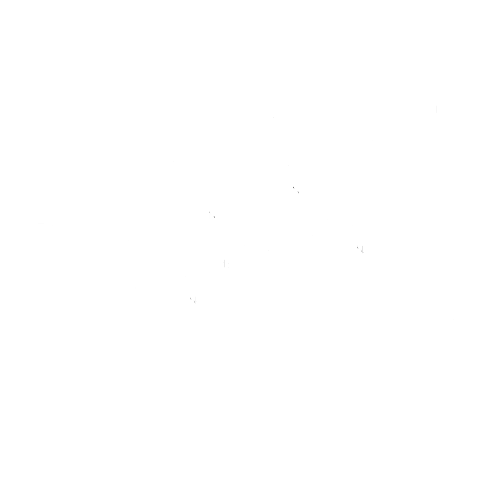 Cc1ccc(N2c3cc4c(cc3B3c5c2cc(-c2ccc(C)cc2C)cc5-n2c5ccc(C)cc5c5cc(C)cc3c52)B2c3c(cc(-c5ccc(C)cc5C)cc3-n3c5ccc(C)cc5c5ccc(C)c2c53)N4c2ccc(C)cc2)cc1